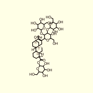 CO[C@]12CC[C@@H]3[C@](CC[C@H]4[C@@]3(C)CCC[C@@]4(C)C(=O)OC3OC(CO)C(O)C(O)C3O)(CC(C3OC(CO)C(O)C(OC4OC(CO)C(O)C(O)C4O)C3OC3OC(CO)C(O)C(O)C3O)=C1C)C2